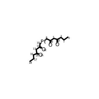 CCCC(=O)CC(=O)[CH2][Pt][CH2]C(=O)CC(=O)CCC